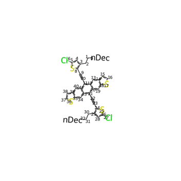 CCCCCCCCCCCCc1cc(Cl)sc1C#Cc1c2cc3ccsc3cc2c(C#Cc2sc(Cl)cc2CCCCCCCCCCCC)c2cc3sccc3cc12